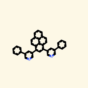 c1ccc(-c2cncc(-c3cc(-c4cncc(-c5ccccc5)c4)c4ccc5cccc6ccc3c4c65)c2)cc1